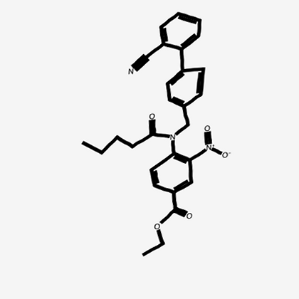 CCCCC(=O)N(Cc1ccc(-c2ccccc2C#N)cc1)c1ccc(C(=O)OCC)cc1[N+](=O)[O-]